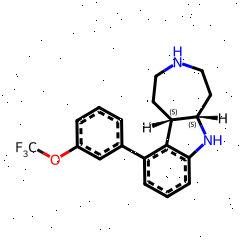 FC(F)(F)Oc1cccc(-c2cccc3c2[C@@H]2CCNCC[C@@H]2N3)c1